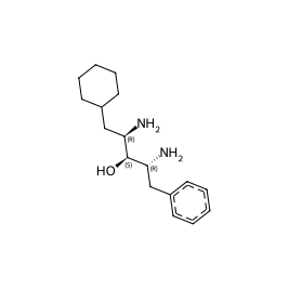 N[C@H](Cc1ccccc1)[C@@H](O)[C@H](N)CC1CCCCC1